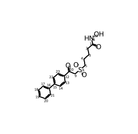 O=C(CCCCS(=O)(=O)CC(=O)c1ccc(-c2ccccc2)cc1)NO